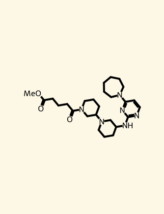 COC(=O)CCCC(=O)N1CCCC(N2CCCC(Nc3nccc(N4CCCCCC4)n3)C2)C1